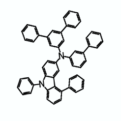 c1ccc(-c2cccc(N(c3cc(-c4ccccc4)cc(-c4ccccc4)c3)c3ccc4c(c3)c3c(-c5ccccc5)cccc3n4-c3ccccc3)c2)cc1